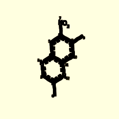 Cc1cnc2cc([N+](=O)[O-])c(C)cc2n1